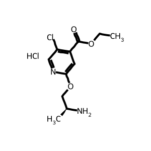 CCOC(=O)c1cc(OC[C@H](C)N)ncc1Cl.Cl